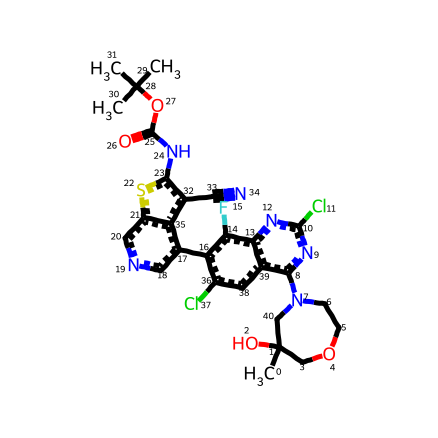 CC1(O)COCCN(c2nc(Cl)nc3c(F)c(-c4cncc5sc(NC(=O)OC(C)(C)C)c(C#N)c45)c(Cl)cc23)C1